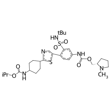 CC(C)OC(=O)NC1CCC(c2ncc(-c3ccc(NC(=O)OC[C@@H]4CCCN4C)cc3S(=O)(=O)NC(C)(C)C)s2)CC1